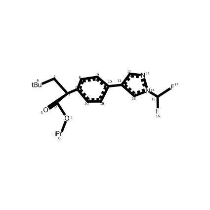 CC(C)OC(=O)C(CC(C)(C)C)c1ccc(-c2cnn(C(F)F)c2)cc1